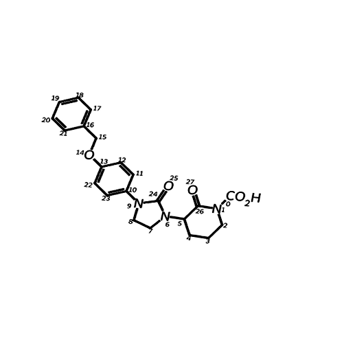 O=C(O)N1CCCC(N2CCN(c3ccc(OCc4ccccc4)cc3)C2=O)C1=O